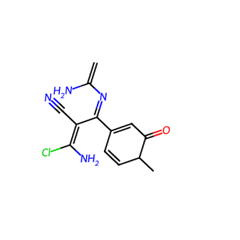 C=C(N)/N=C(C1=CC(=O)C(C)C=C1)\C(C#N)=C(/N)Cl